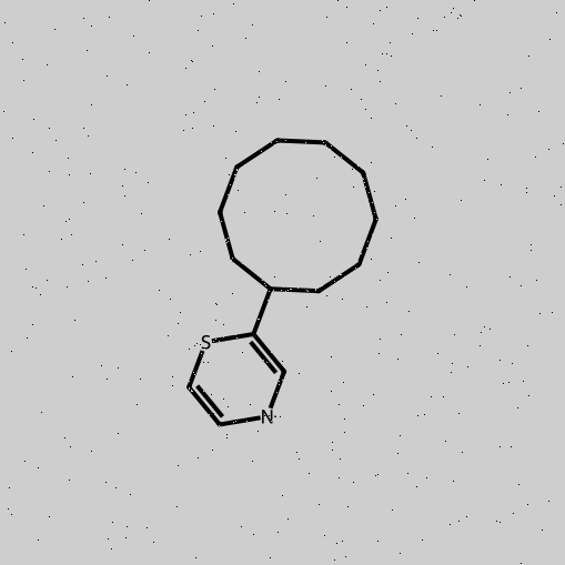 C1=CSC(C2CCCCCCCCC2)=C[N]1